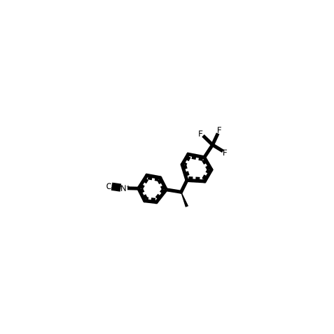 [C-]#[N+]c1ccc([C@H](C)c2ccc(C(F)(F)F)cc2)cc1